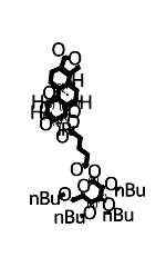 CCCCOCC1O[C@H](OC(=O)CCCC(=O)O[C@@H]2[C@@]3(C(C)C)O[C@H]3[C@@H]3O[C@]34[C@]23O[C@H]3C[C@H]2C3=C(CC[C@@]24C)C(=O)OC3)C(OCCCC)[C@@H](OCCCC)[C@@H]1OCCCC